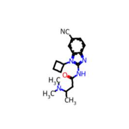 CC(CC(=O)Nc1nc2ccc(C#N)cc2n1C1CCC1)N(C)C